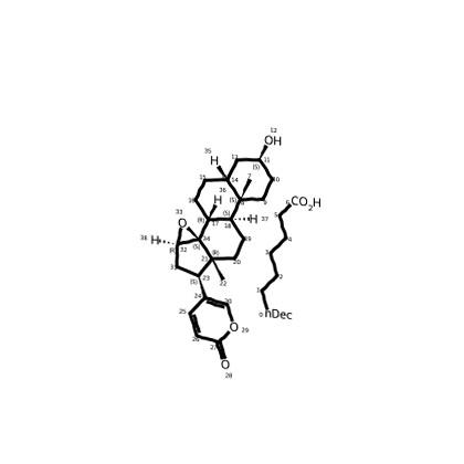 CCCCCCCCCCCCCCCC(=O)O.C[C@]12CC[C@H](O)C[C@H]1CC[C@@H]1[C@@H]2CC[C@]2(C)[C@@H](c3ccc(=O)oc3)C[C@H]3O[C@]132